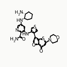 NC(=O)c1ncc(N[C@H]2CCCC[C@H]2N)cc1Nc1cscc1-c1coc2c(=O)cc(N3CCOCC3)sc12